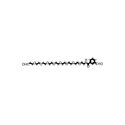 O=CCCOCCOCCOCCOCCOCCOCCOCCOCCNC(=O)c1cccc(C=O)c1